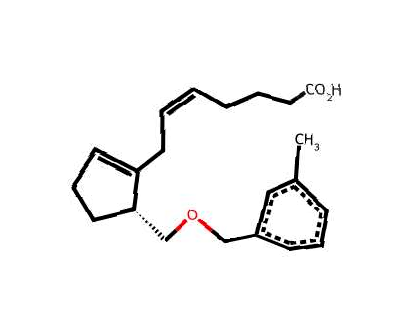 Cc1cccc(COC[C@@H]2CCC=C2C/C=C\CCCC(=O)O)c1